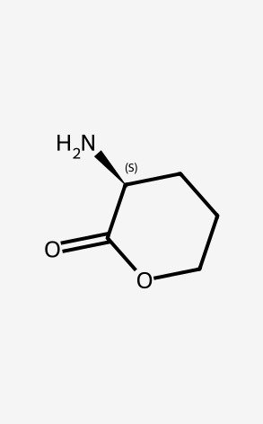 N[C@H]1CCCOC1=O